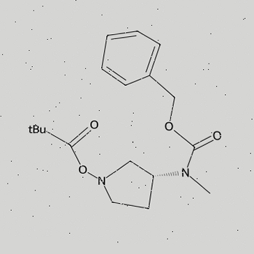 CN(C(=O)OCc1ccccc1)[C@@H]1CCN(OC(=O)C(C)(C)C)C1